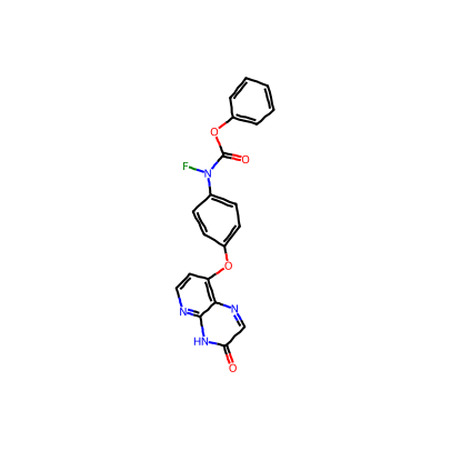 O=C(Oc1ccccc1)N(F)c1ccc(Oc2ccnc3[nH]c(=O)cnc23)cc1